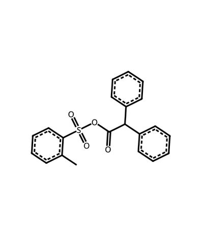 Cc1ccccc1S(=O)(=O)OC(=O)C(c1ccccc1)c1ccccc1